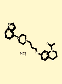 CC(=O)N1CCCc2ccc(OCCCN3CCN(c4cccc5sccc45)CC3)cc21.Cl